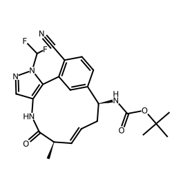 C[C@@H]1/C=C/C[C@H](NC(=O)OC(C)(C)C)c2ccc(C#N)c(c2)-c2c(cnn2C(F)F)NC1=O